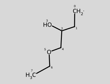 [CH2]CC(O)COCC